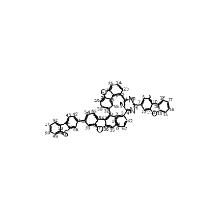 c1ccc(-c2nc(-c3ccc4c(c3)oc3ccccc34)nc(-c3cccc4oc5ccc(-c6cccc7oc8cc(-c9ccc%10c(c9)sc9ccccc9%10)ccc8c67)cc5c34)n2)cc1